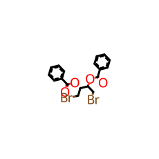 O=C(OC(CBr)C(CBr)OC(=O)c1ccccc1)c1ccccc1